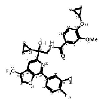 COc1cc(C(=O)NCC(O)(c2cc3c(c(-c4ccc(F)c(Cl)c4)n2)OC[C@H]3C(F)(F)F)C2CC2)ccc1OC1CC1